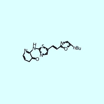 CCCCc1cnc(/C=C/c2cnc(NC3=NC=CCC3=O)s2)o1